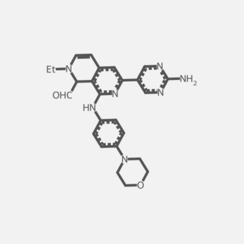 CCN1C=Cc2cc(-c3cnc(N)nc3)nc(Nc3ccc(N4CCOCC4)cc3)c2C1C=O